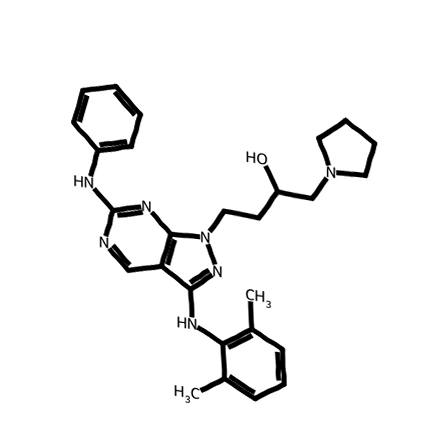 Cc1cccc(C)c1Nc1nn(CCC(O)CN2CCCC2)c2nc(Nc3ccccc3)ncc12